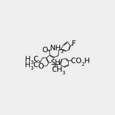 C[C@@H](c1ccc(C(=O)O)cc1)[SH]1C2=C(CC(C)(C)OC2)C(C(N)=O)=C1CCc1ccc(F)cc1